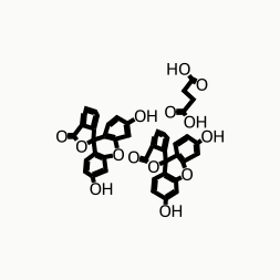 O=C(O)CCC(=O)O.O=C1OC2(c3ccc(O)cc3Oc3cc(O)ccc32)c2ccccc21.O=C1OC2(c3ccc(O)cc3Oc3cc(O)ccc32)c2ccccc21